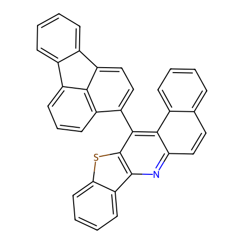 c1ccc2c(c1)-c1cccc3c(-c4c5sc6ccccc6c5nc5ccc6ccccc6c45)ccc-2c13